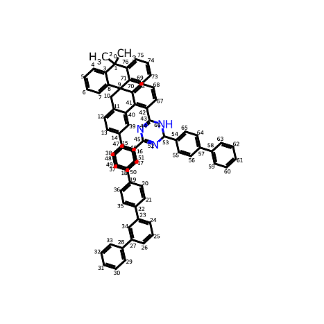 CC1(C)c2ccccc2C2(Cc3ccc(-c4ccc(-c5ccc(-c6cccc(-c7ccccc7)c6)cc5)cc4)cc3-c3c(C4=NC(c5ccccc5)=NC(c5ccc(-c6ccccc6)cc5)N4)cccc32)c2ccccc21